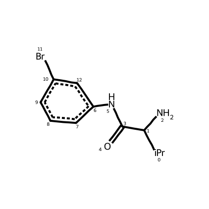 CC(C)C(N)C(=O)Nc1cccc(Br)c1